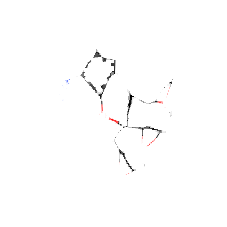 Nc1ccccc1OC(CC1CO1)(CC1CO1)C1CO1